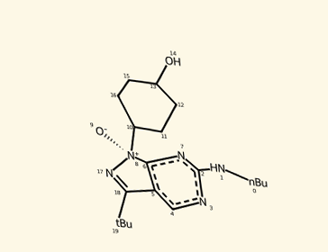 CCCCNc1ncc2c(n1)[N@+]([O-])(C1CCC(O)CC1)N=C2C(C)(C)C